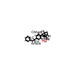 CCCCC[C@@H](c1ccccc1)C(C)(C)c1cc(OC)c([C@H]2C=C(CO)[C@H]3C[C@@H]2C3(C)C)c(OC)c1